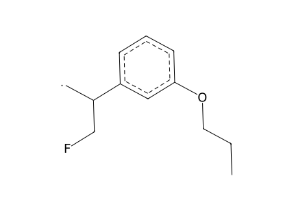 [CH2]C(CF)c1cccc(OCCC)c1